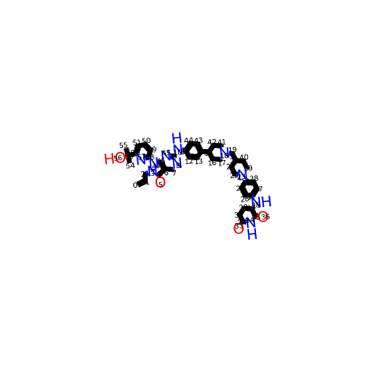 C=CCn1c(=O)c2cnc(Nc3ccc(C4CCN(CC5CCN(c6ccc(NC7CCC(=O)NC7=O)cc6)CC5)CC4)cc3)nc2n1-c1cccc(C(C)(C)O)n1